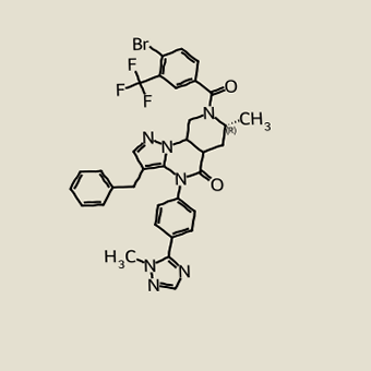 C[C@@H]1CC2C(=O)N(c3ccc(-c4ncnn4C)cc3)c3c(Cc4ccccc4)cnn3C2CN1C(=O)c1ccc(Br)c(C(F)(F)F)c1